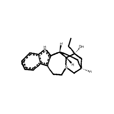 CC[C@@]1(O)C[C@@H]2C[C@H]3c4[nH]c5ccccc5c4CCN(C2)[C@H]31